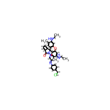 CCNc1cc2c(cc1C)C1(c3cc(C)c(NCC)cc3O2)c2ccccc2C(=O)N1/N=C/C=N/c1ccc(CCl)cc1